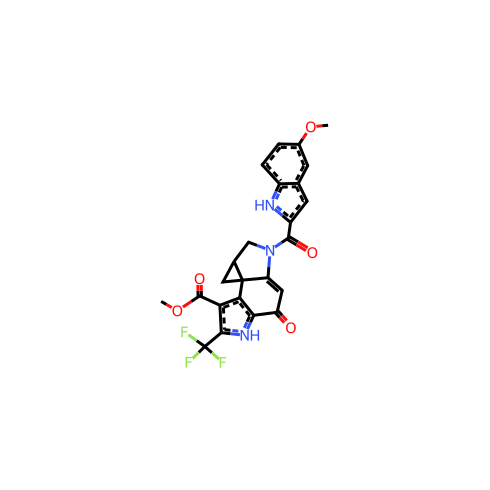 COC(=O)c1c(C(F)(F)F)[nH]c2c1C13CC1CN(C(=O)c1cc4cc(OC)ccc4[nH]1)C3=CC2=O